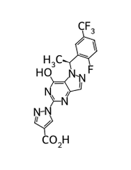 C[C@@H](c1cc(C(F)(F)F)ccc1F)n1ncc2nc(-n3cc(C(=O)O)cn3)nc(O)c21